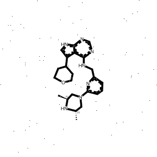 C[C@H]1CN(c2cccc(CNc3ncnc4[nH]cc(C5CCOCC5)c34)n2)C[C@H](C)N1